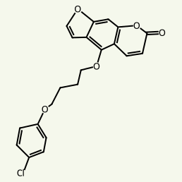 O=c1ccc2c(OCCCCOc3ccc(Cl)cc3)c3ccoc3cc2o1